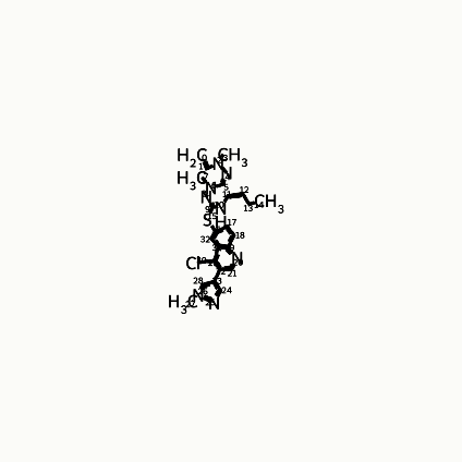 C=CN(C)/N=C\N(C)/N=C(\N/C=C\CC)Sc1ccc2ncc(-c3cnn(C)c3)c(Cl)c2c1